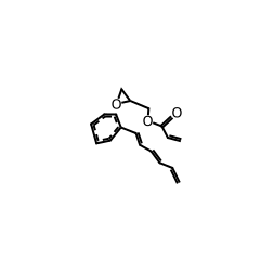 C=CC(=O)OCC1CO1.C=CC=CC=Cc1ccccc1